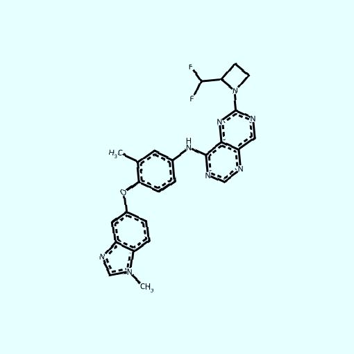 Cc1cc(Nc2ncnc3cnc(N4CCC4C(F)F)nc23)ccc1Oc1ccc2c(c1)ncn2C